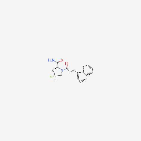 NC(=O)[C@@H]1CC(F)(F)CN1C(=O)CCc1cccc2ccccc12